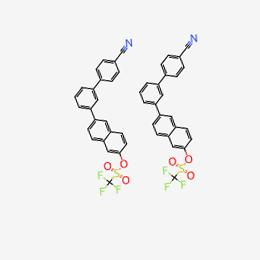 N#Cc1ccc(-c2cccc(-c3ccc4cc(OS(=O)(=O)C(F)(F)F)ccc4c3)c2)cc1.N#Cc1ccc(-c2cccc(-c3ccc4cc(OS(=O)(=O)C(F)(F)F)ccc4c3)c2)cc1